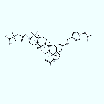 C=C(C)[C@@H]1CC[C@]2(CC(=O)NCc3ccc(NC(C)=O)cc3)CC[C@]3(C)[C@H](CC[C@@H]4[C@@]5(C)CC[C@H](OC(=O)CC(C)(C)C(=O)O)C(C)(C)[C@@H]5CC[C@]43C)[C@@H]12